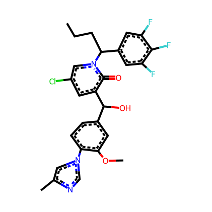 CCCC(c1cc(F)c(F)c(F)c1)n1cc(Cl)cc(C(O)c2ccc(-n3cnc(C)c3)c(OC)c2)c1=O